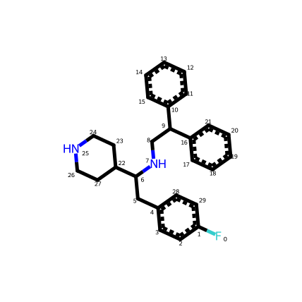 Fc1ccc(CC(NCC(c2ccccc2)c2ccccc2)C2CCNCC2)cc1